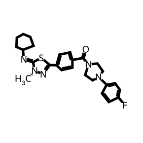 Cn1nc(-c2ccc(C(=O)N3CCN(c4ccc(F)cc4)CC3)cc2)sc1=NC1CCCCC1